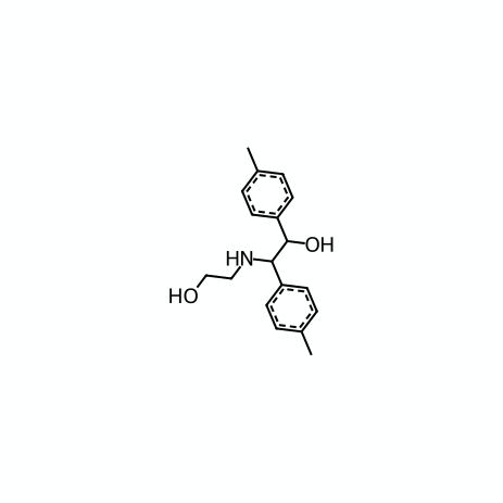 Cc1ccc(C(O)C(NCCO)c2ccc(C)cc2)cc1